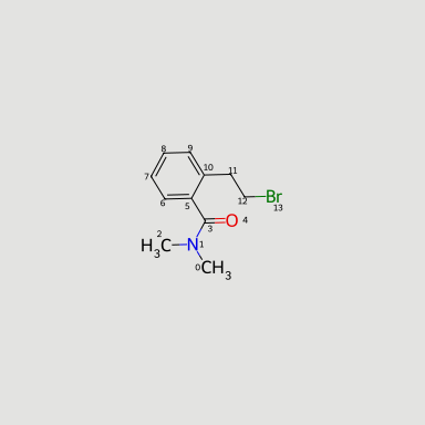 CN(C)C(=O)c1ccccc1CCBr